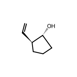 C=C[C@@H]1CCC[C@H]1O